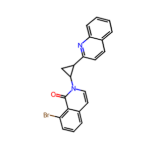 O=c1c2c(Br)cccc2ccn1C1CC1c1ccc2ccccc2n1